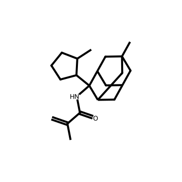 C=C(C)C(=O)NC1(C2CCCC2C)C2CC3CC1CC(C)(C3)C2